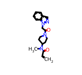 C=CC(=O)N(C)C1CCN(C(=O)Cn2ncc3ccccc32)CC1